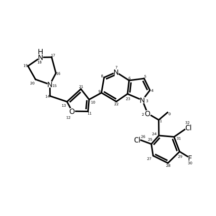 CC(On1ccc2ncc(-c3coc(CN4CCNCC4)c3)cc21)c1c(Cl)ccc(F)c1Cl